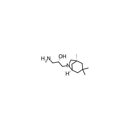 CC1(C)C[C@@H]2C[C@@](C)(CN2C[C@@H](O)CN)C1